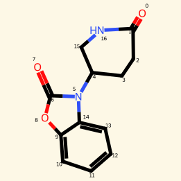 O=C1CCC(n2c(=O)oc3ccccc32)CN1